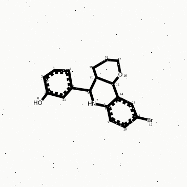 Oc1cccc(C2Nc3ccc(Br)cc3C3OCCCC23)c1